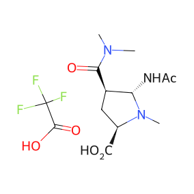 CC(=O)N[C@H]1[C@H](C(=O)N(C)C)C[C@H](C(=O)O)N1C.O=C(O)C(F)(F)F